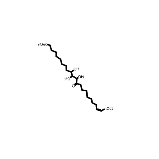 CCCCCCCC/C=C\CCCCCCCC(=O)C(O)C(O)C(O)CCCCCCCCCCCCCCCCCC